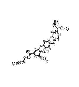 CCOC(C=O)N1CCN(Cc2cccc(Nc3ccc(C(=O)OCCOC)cc3[N+](=O)[O-])c2)CC1